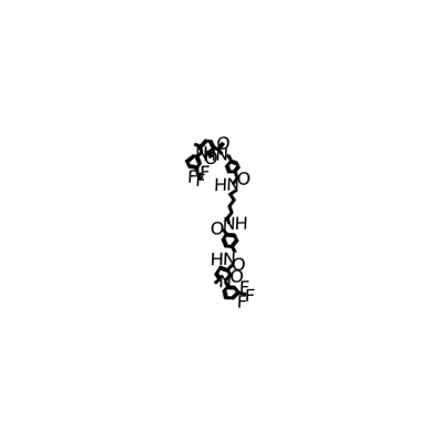 Cc1ccc(C(=O)NCc2ccc(C(=O)NCCCCCCNC(=O)c3ccc(CNC(=O)c4ccc(C)n(-c5cccc(C(F)(F)F)c5)c4=O)cc3)cc2)c(=O)n1-c1cccc(C(F)(F)F)c1